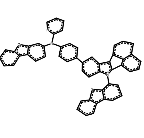 c1ccc(N(c2ccc(-c3ccc4c(c3)c3c(n4-c4cccc5c4sc4ccccc45)-c4cccc5cccc-3c45)cc2)c2ccc3c(c2)oc2ccccc23)nc1